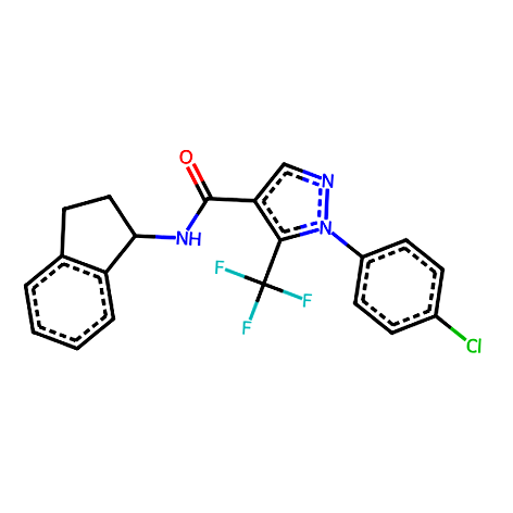 O=C(NC1CCc2ccccc21)c1cnn(-c2ccc(Cl)cc2)c1C(F)(F)F